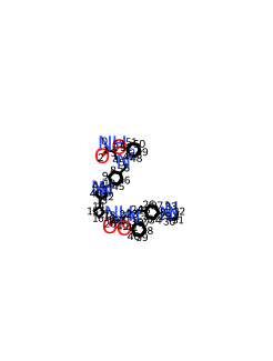 NC(=O)C1CN(Cc2ccc(-n3cc(C4CCC4NC(=O)C4CN(Cc5ccc(-n6cccn6)cc5)c5ccccc5O4)cn3)cc2)c2ccccc2O1